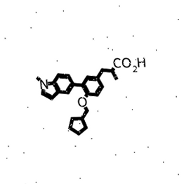 CC(Cc1ccc(OCC2CCCC2)c(-c2ccc3c(ccn3C)c2)c1)C(=O)O